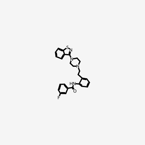 O=C(Nc1ccccc1CCN1CCN(c2nsc3ccccc23)CC1)c1cccc(F)c1